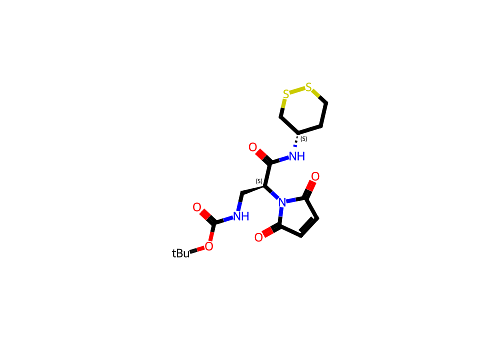 CC(C)(C)OC(=O)NC[C@@H](C(=O)N[C@H]1CCSSC1)N1C(=O)C=CC1=O